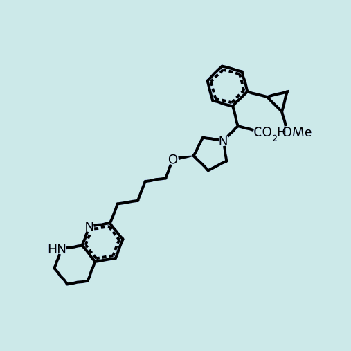 COC1CC1c1ccccc1C(C(=O)O)N1CC[C@@H](OCCCCc2ccc3c(n2)NCCC3)C1